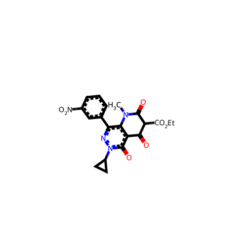 CCOC(=O)C1C(=O)c2c(c(-c3cccc([N+](=O)[O-])c3)nn(C3CC3)c2=O)N(C)C1=O